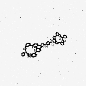 c1ccc(C2c3cc4cccc(c4[nH]3)-c3ccc4c(n3)c3nc(ccc3c3[nH]c(-c5ccc(-c6nc7c8ccc9nc8c8nc(ccc8c7[nH]6)-c6cccc7cc([nH]c67)C(c6ccccc6)c6cc7cccc-9c7[nH]6)cc5)nc43)-c3cccc4cc2[nH]c34)cc1